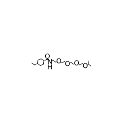 CC[C@H]1CC[C@@H](C(=O)NCCOCCOCCOCCOC(C)C)CC1